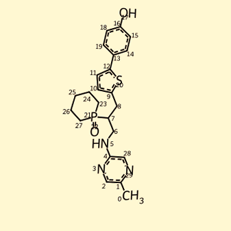 Cc1cnc(NCC(Cc2ccc(-c3ccc(O)cc3)s2)P2(=O)CCCCC2)cn1